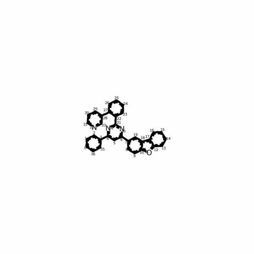 c1ccc(-c2cc(-c3ccc4oc5ccccc5c4c3)nc(-c3ccccc3-c3cccnc3)n2)cc1